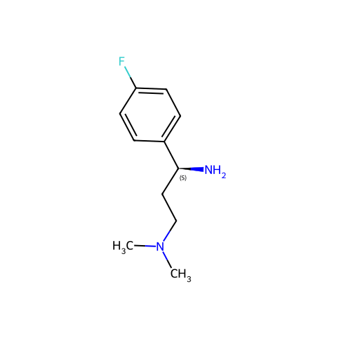 CN(C)CC[C@H](N)c1ccc(F)cc1